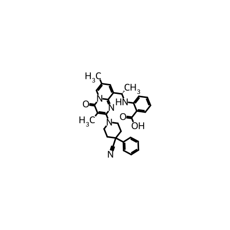 Cc1cc([C@H](C)Nc2ccccc2C(=O)O)c2nc(N3CCC(C#N)(c4ccccc4)CC3)c(C)c(=O)n2c1